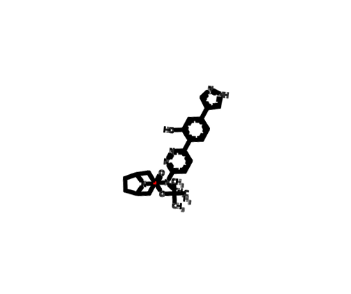 CN(c1ccc(-c2ccc(-c3cn[nH]c3)cc2O)nn1)C1CC2CCC(C1)N2C(=O)OC(C)(C)C